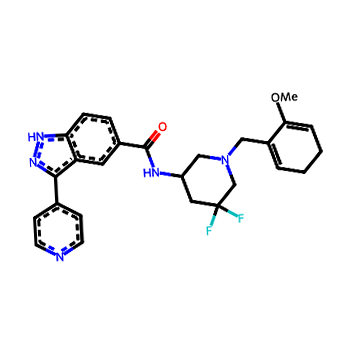 COC1=CCCC=C1CN1CC(NC(=O)c2ccc3[nH]nc(-c4ccncc4)c3c2)CC(F)(F)C1